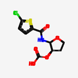 O=C(O)O[C@@H]1CCOC1NC(=O)c1ccc(Cl)s1